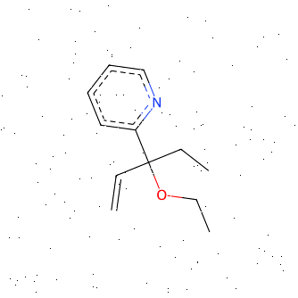 C=CC(CC)(OCC)c1ccccn1